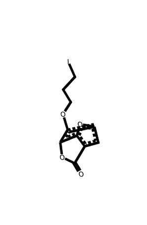 O=C1Oc2c(OCCCI)c3cc1c2o3